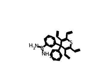 C=CC1=C(C=C)C(c2ccccc2)(c2cccc(B(N)N)c2)C(C=C)=C(C=C)S1